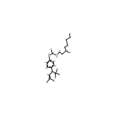 CCCCCC(C)CCOC(C)Oc1ccc(C(C=C(C)C)C(C)(C)C)cc1